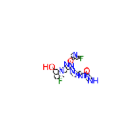 CCc1c(F)ccc2cc(O)cc(N3CCc4c(nc(OC[C@@]56CCCN5C[C@H](F)C6)nc4N4CCCn5nc(C(=O)N6C7CCC6CNC7)cc5C4)C3)c12